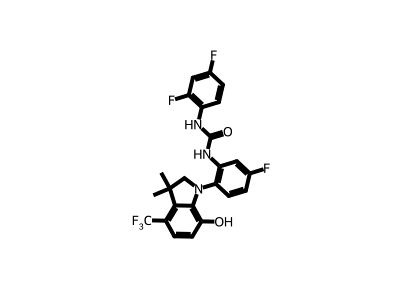 CC1(C)CN(c2ccc(F)cc2NC(=O)Nc2ccc(F)cc2F)c2c(O)ccc(C(F)(F)F)c21